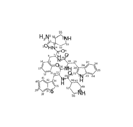 NC(=O)C1(NC(=O)C(Cc2ccccc2)NC(=O)C(Cc2c[nH]c3ccccc23)NC(=O)C(Cc2csc3ccccc23)NC(=O)C2CCNCC2)CCNCC1